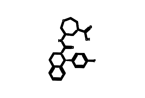 O=C(O)N1CCOCC(NC(=O)N2CCc3ccccc3[C@@H]2c2ccc(F)cc2)C1